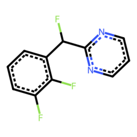 Fc1cccc(C(F)c2ncccn2)c1F